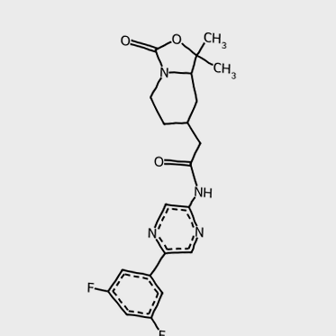 CC1(C)OC(=O)N2CCC(CC(=O)Nc3cnc(-c4cc(F)cc(F)c4)cn3)CC21